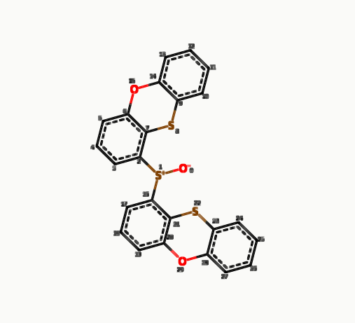 [O-][S+](c1cccc2c1Sc1ccccc1O2)c1cccc2c1Sc1ccccc1O2